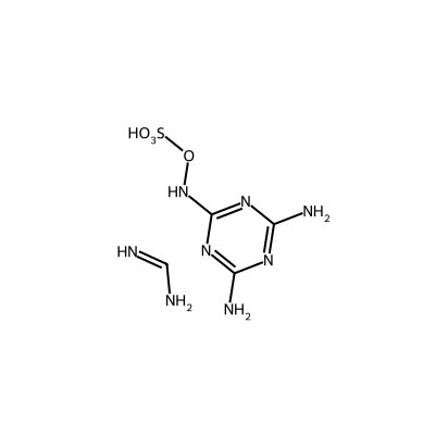 N=CN.Nc1nc(N)nc(NOS(=O)(=O)O)n1